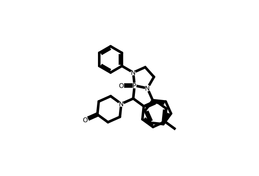 Cc1ccc(C(N2CCC(=O)CC2)P2(=O)N(c3ccccc3)CCN2c2ccccc2)cc1